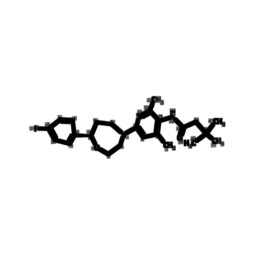 Cc1cc(N2CCO[C@@H](c3ccc(F)cc3)CC2)nc(C)c1NC(=O)CC(C)(C)C